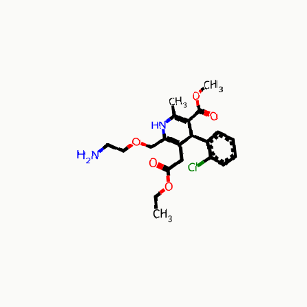 CCOC(=O)CC1=C(COCCN)NC(C)=C(C(=O)OC)C1c1ccccc1Cl